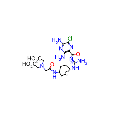 N/C(=N\C(=O)c1nc(Cl)c(N)nc1N)N[C@H]1CC[C@H](NC(=O)CN(CC(=O)O)CC(=O)O)CC1